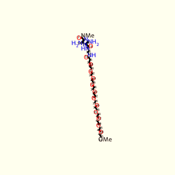 CNC(=O)c1nc(N)c(C(=O)NCCNC(=O)CCOCCOCCOCCOCCOCCOCCOCCOCCOCCOCCOCCOC)nc1N